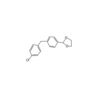 Clc1ccc(Cc2ccc(C3OCCO3)cc2)cc1